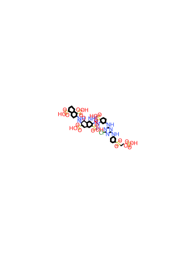 Nc1c(NNc2cc(Nc3nc(Cl)nc(Nc4cccc(S(=O)(=O)CCOS(=O)(=O)O)c4)n3)ccc2S(=O)(=O)O)c(S(=O)(=O)O)cc2c1C(=O)/C(=N\Nc1ccc3c(S(=O)(=O)O)cccc3c1S(=O)(=O)O)C(S(=O)(=O)O)=C2